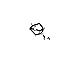 CCCN1CC2CCC1CC2